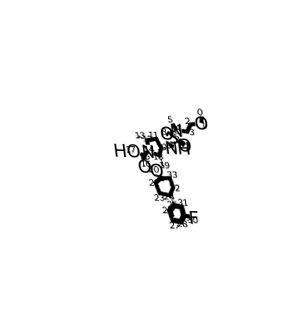 COCCN(C)S(=O)(=O)N[C@H]1C[C@@H](C)N(C(=O)O)[C@H]1CO[C@H]1CC[C@@H](c2cccc(F)c2)CC1